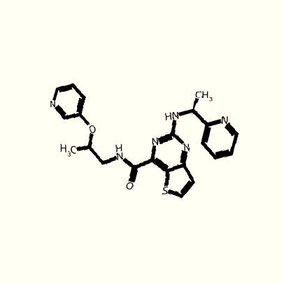 CC(CNC(=O)c1nc(N[C@@H](C)c2ccccn2)nc2ccsc12)Oc1cccnc1